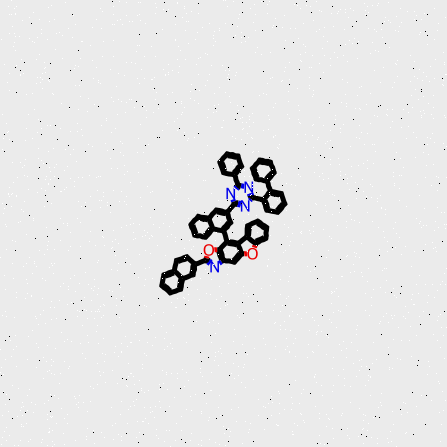 c1ccc(-c2nc(-c3cc(-c4c5oc(-c6ccc7ccccc7c6)nc5cc5oc6ccccc6c45)c4ccccc4c3)nc(-c3ccccc3-c3ccccc3)n2)cc1